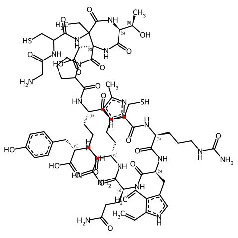 C=Cc1[nH]cc(C[C@H](NC(=O)[C@H](CCCNC(N)=O)NC(=O)C(CS)NC(=O)[C@H](CCCNC(=N)N)NC(=O)C2CCCN2C(=O)[C@]2(CC(=O)O)NC(=O)[C@H]([C@@H](C)O)NC(=O)C2(CC)NC(=O)C(CS)NC(=O)CN)C(=O)N[C@@H](CCC(N)=O)C(=O)N[C@@H](CCn2cc(C)nn2)C(=O)N[C@@H](Cc2ccc(O)cc2)C(=O)O)c1C=C